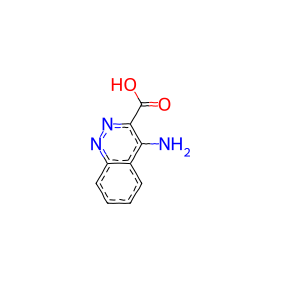 Nc1c(C(=O)O)nnc2ccccc12